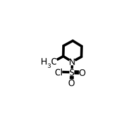 CC1CCCCN1S(=O)(=O)Cl